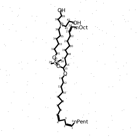 CCCCC/C=C\C/C=C\CCCCCCCCOC(CCCCCCC/C=C\CCCCCCCC)O[Si](C)(C)OCCCCCCN(CCO)CCO